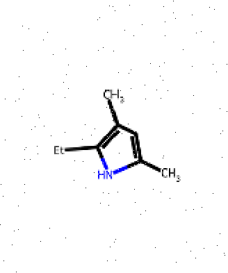 [CH2]Cc1[nH]c(C)cc1C